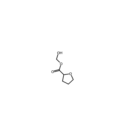 O=C(OCO)C1CCCO1